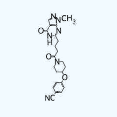 Cn1ncc2c(=O)[nH]c(CCCC(=O)N3CCC(Oc4ccc(C#N)cc4)CC3)nc21